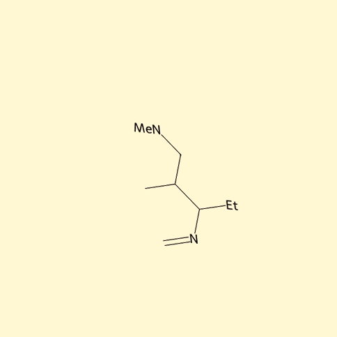 C=NC(CC)C(C)CNC